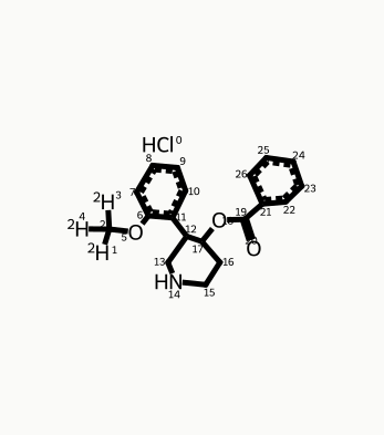 Cl.[2H]C([2H])([2H])Oc1ccccc1C1CNCCC1OC(=O)c1ccccc1